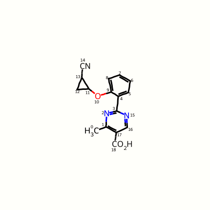 Cc1nc(-c2ccccc2OC2CC2C#N)ncc1C(=O)O